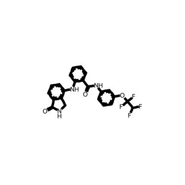 O=C(Nc1cccc(OC(F)(F)C(F)F)c1)c1ccccc1Nc1cccc2c1CNC2=O